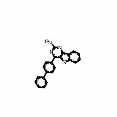 CC(C)(C)c1nc(-c2ccc(-c3ccccc3)cc2)c2sc3ccccc3c2n1